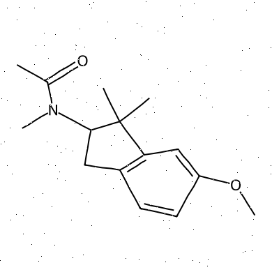 COc1ccc2c(c1)C(C)(C)C(N(C)C(C)=O)C2